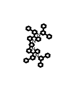 c1ccc(-c2cc(-c3ccccc3)cc(N3c4ccc(-c5ccccc5)cc4C4c5c3cccc5-n3c5cc6c(cc5c5cccc4c53)c3cccc4c3n6-c3cccc5c3C4c3cc(-c4ccccc4)ccc3N5c3cc(-c4ccccc4)cc(-c4ccccc4)c3)c2)cc1